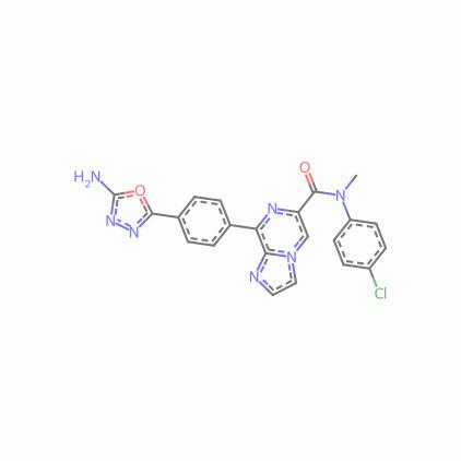 CN(C(=O)c1cn2ccnc2c(-c2ccc(-c3nnc(N)o3)cc2)n1)c1ccc(Cl)cc1